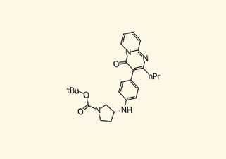 CCCc1nc2ccccn2c(=O)c1-c1ccc(N[C@@H]2CCN(C(=O)OC(C)(C)C)C2)cc1